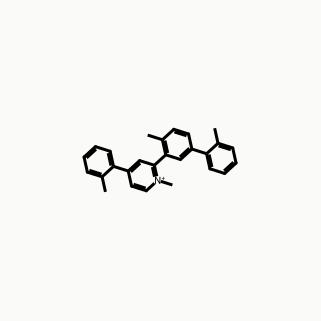 Cc1ccccc1-c1ccc(C)c(-c2cc(-c3ccccc3C)cc[n+]2C)c1